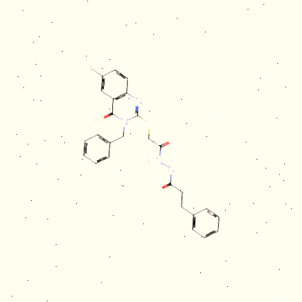 O=C(CCc1ccccc1)NNC(=O)CSc1nc2ccc(Cl)cc2c(=O)n1Cc1ccccc1